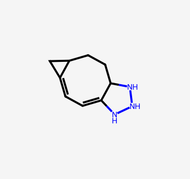 C1=C2CC2CCC2NNNC2=C1